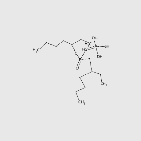 CCCCC(CC)CP(=O)(CC(CC)CCCC)[SH]=P(O)(O)S